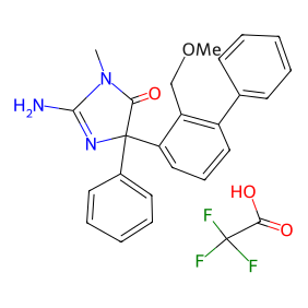 COCc1c(-c2ccccc2)cccc1C1(c2ccccc2)N=C(N)N(C)C1=O.O=C(O)C(F)(F)F